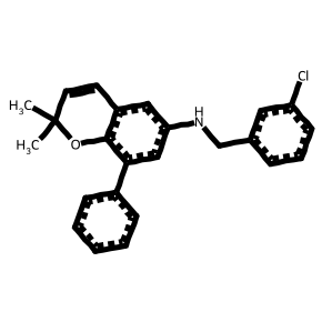 CC1(C)C=Cc2cc(NCc3cccc(Cl)c3)cc(-c3ccccc3)c2O1